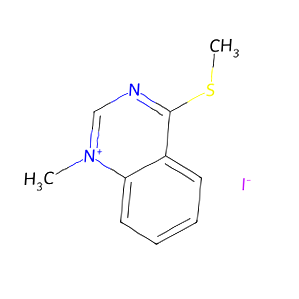 CSc1nc[n+](C)c2ccccc12.[I-]